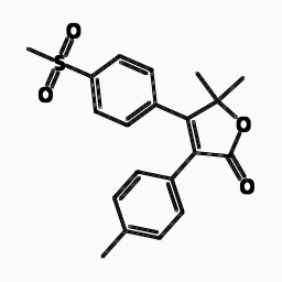 Cc1ccc(C2=C(c3ccc(S(C)(=O)=O)cc3)C(C)(C)OC2=O)cc1